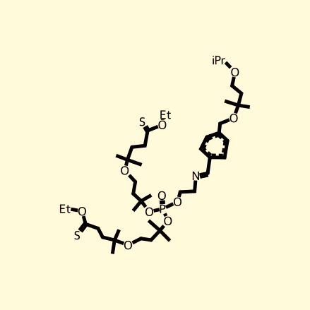 CCOC(=S)CCC(C)(C)OCCC(C)(C)OP(=O)(OCCN=Cc1ccc(COC(C)(C)CCOC(C)C)cc1)OC(C)(C)CCOC(C)(C)CCC(=S)OCC